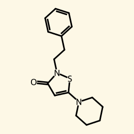 O=c1cc(N2CCCCC2)sn1CCc1ccccc1